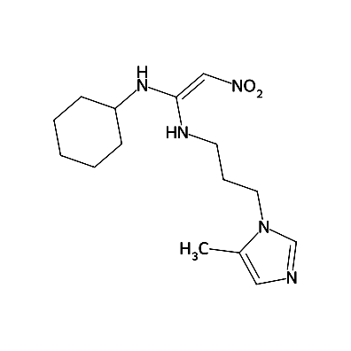 Cc1cncn1CCCN/C(=C\[N+](=O)[O-])NC1CCCCC1